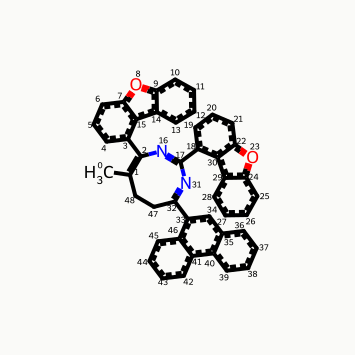 C/C1=C(c2cccc3oc4ccccc4c23)/N=C(c2cccc3oc4ccccc4c23)\N=C(\c2cc3ccccc3c3ccccc23)CC1